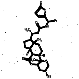 CC(C)C(NC(=O)C[C@@H](C)C1CC[C@H]2C3C(=O)CC4C[C@H](O)CCC4(C)[C@H]3CCC12C)c1ccc(Cl)s1